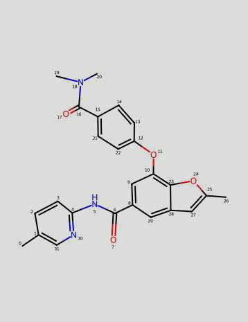 Cc1ccc(NC(=O)c2cc(Oc3ccc(C(=O)N(C)C)cc3)c3oc(C)cc3c2)nc1